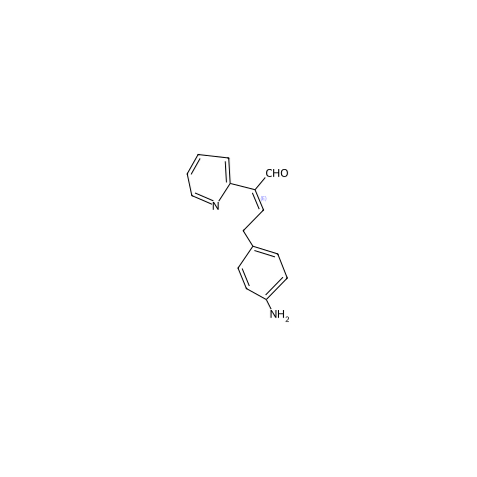 Nc1ccc(C/C=C(/C=O)c2ccccn2)cc1